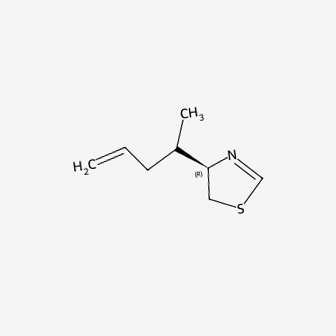 C=CCC(C)[C@@H]1CSC=N1